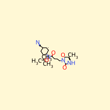 Cc1c[nH]c(=O)n(CCCC(=O)N(OC(C)(C)C)C2C[CH]C(C#N)CC2)c1=O